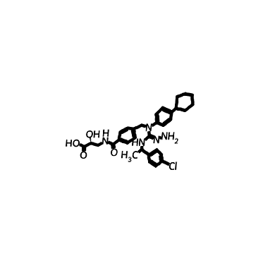 CC(N/C(=N/N)N(Cc1ccc(C(=O)NC[C@@H](O)C(=O)O)cc1)c1ccc(C2CCCCC2)cc1)c1ccc(Cl)cc1